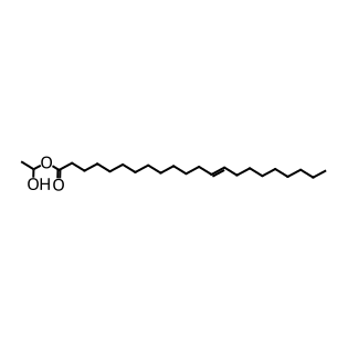 CCCCCCCCC=CCCCCCCCCCCCC(=O)OC(C)O